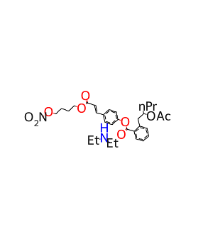 CCCC(Cc1ccccc1C(=O)Oc1ccc(C=CC(=O)OCCCCO[N+](=O)[O-])cc1)OC(C)=O.CCNCC